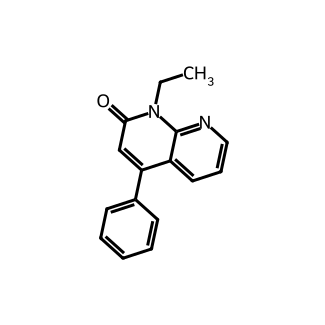 CCn1c(=O)cc(-c2ccccc2)c2cccnc21